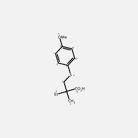 CCC(C)(CSc1ccc(OC)cc1)C(=O)O